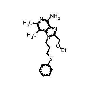 CCOCc1nc2c(N)nc(C)c(C)c2n1CCCSc1ccccc1